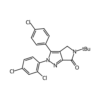 CC(C)(C)N1Cc2c(nn(-c3ccc(Cl)cc3Cl)c2-c2ccc(Cl)cc2)C1=O